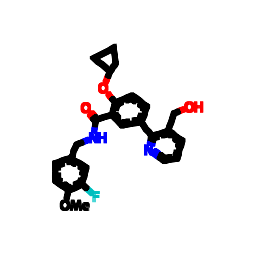 COc1ccc(CNC(=O)c2cc(-c3ncccc3CO)ccc2OC2CCC2)cc1F